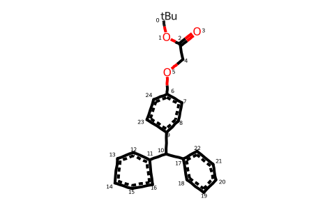 CC(C)(C)OC(=O)COc1ccc(C(c2ccccc2)c2ccccc2)cc1